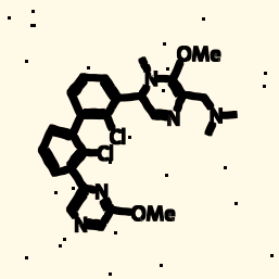 COC1=C(CN(C)C)N=CC(c2cccc(-c3cccc(-c4cncc(OC)n4)c3Cl)c2Cl)N1C